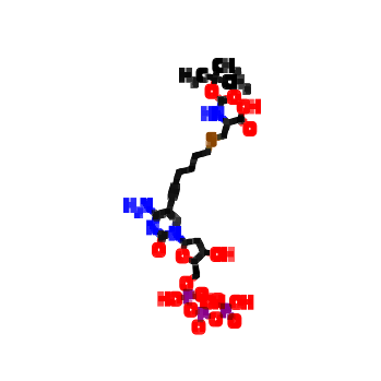 CC(C)(C)OC(=O)NC(CSCCCCC#Cc1cn([C@H]2CC(O)[C@@H](COP(=O)(O)OP(=O)(O)OP(=O)(O)O)O2)c(=O)nc1N)C(=O)O